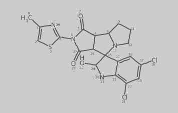 Cc1csc(N2C(=O)C3C4CCCN4C4(c5cc(Cl)cc(Cl)c5NC4O)C3C2=O)n1